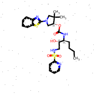 CCCC[C@H](NC(=O)O[C@@H]1CN(c2nc3ccccc3s2)CC1(C)C)[C@@H](O)CNS(=O)(=O)c1ccccn1